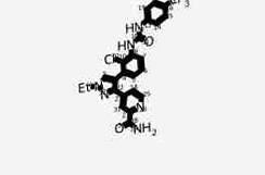 CCn1cc(-c2cccc(NC(=O)Nc3ccc(C(F)(F)F)cc3)c2Cl)c(-c2ccnc(C(N)=O)c2)n1